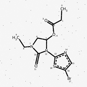 CCC(=O)OC1CN(CC)C(=O)N1c1ncc(Br)s1